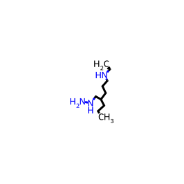 C=CNCCCC(CCC)CNN